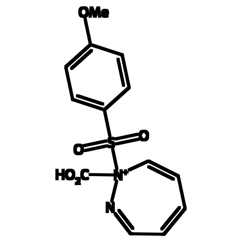 COc1ccc(S(=O)(=O)[N+]2(C(=O)O)C=CC=CC=N2)cc1